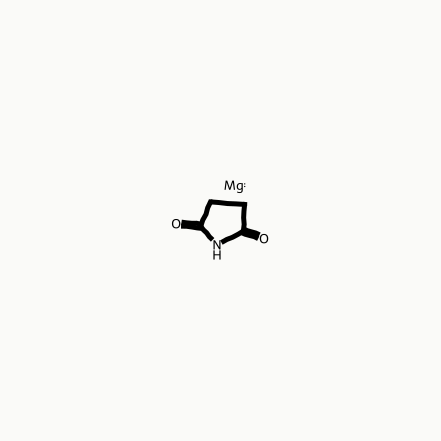 O=C1CCC(=O)N1.[Mg]